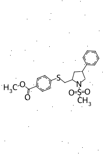 COC(=O)c1ccc(SCC2CC(c3ccccc3)CN2S(C)(=O)=O)cc1